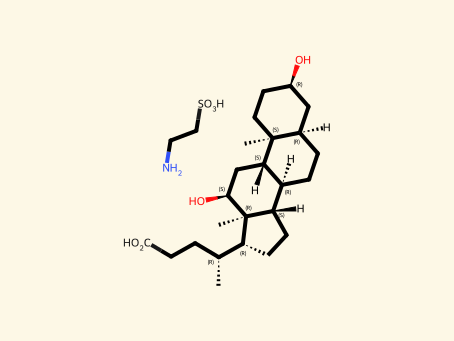 C[C@H](CCC(=O)O)[C@H]1CC[C@H]2[C@@H]3CC[C@@H]4C[C@H](O)CC[C@]4(C)[C@H]3C[C@H](O)[C@]12C.NCCS(=O)(=O)O